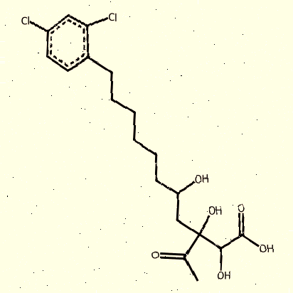 CC(=O)C(O)(CC(O)CCCCCCc1ccc(Cl)cc1Cl)C(O)C(=O)O